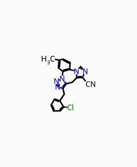 Cc1ccc2c(c1)-n1nnc(Cc3ccccc3Cl)c1Cc1c(C#N)ncn1-2